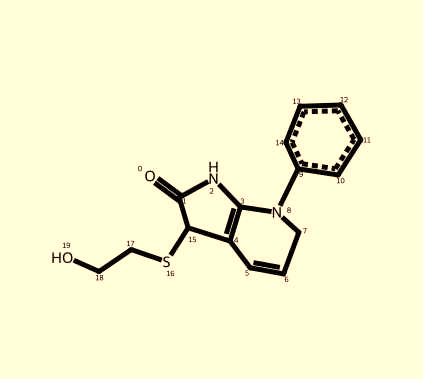 O=C1NC2=C(C=CCN2c2ccccc2)C1SCCO